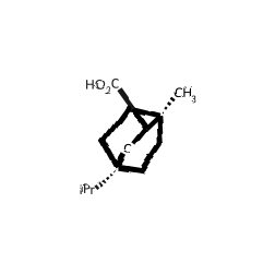 CC(C)[C@]12CC[C@](C)(CC1)C(C(=O)O)C2